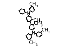 Cc1cccc(N(c2ccccc2)c2ccc(-c3ccc(N(c4cccc(C)c4)c4cccc(C)c4)cc3C)c(C)c2)c1